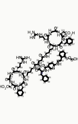 N=C(N)NCCC[C@@H]1NC(=O)[C@H](CCCCNC(=O)CCC(NC(=O)/C(=C/c2ccccc2)NC(=O)c2ccc(NN=Cc3ccccc3SOOO)nc2)C(=O)NCCCC[C@@H]2NC(=O)[C@@H](Cc3ccccc3)NC(=O)[C@H](CC(=O)O)NC(=O)CNC(=O)[C@H](CCCNC(=N)N)NC2=O)NC(=O)[C@@H](Cc2ccccc2)NC(=O)[C@H](CC(=O)O)NC(=O)CNC1=O